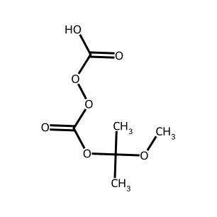 COC(C)(C)OC(=O)OOC(=O)O